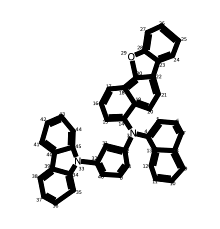 c1cc(N(c2cccc3ccccc23)c2cccc3c2ccc2c4ccccc4oc32)cc(-n2c3ccccc3c3ccccc32)c1